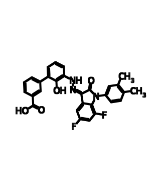 Cc1ccc(N2C(=O)/C(=N\Nc3cccc(-c4cccc(C(=O)O)c4)c3O)c3cc(F)cc(F)c32)cc1C